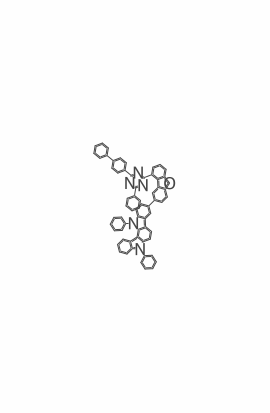 c1ccc(-c2ccc(-c3nc(-c4ccccc4)nc(-c4cccc5oc6ccc(-c7ccc8c(c7)c7ccc9c(c%10ccccc%10n9-c9ccccc9)c7n8-c7ccccc7)cc6c45)n3)cc2)cc1